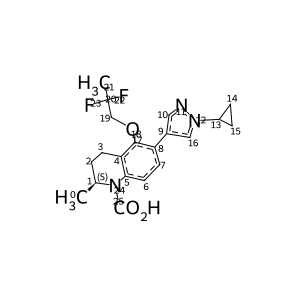 C[C@H]1CCc2c(ccc(-c3cnn(C4CC4)c3)c2OCC(C)(F)F)N1C(=O)O